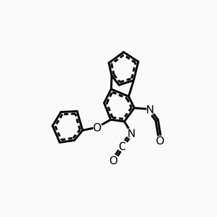 O=C=Nc1c(Oc2ccccc2)cc2c(c1N=C=O)-c1cccc-2c1